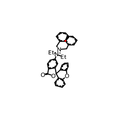 CC[N+](CC)(c1ccc2c(c1)C1(OC2=O)c2ccccc2Oc2ccccc21)N(Cc1ccccc1)Cc1ccccc1